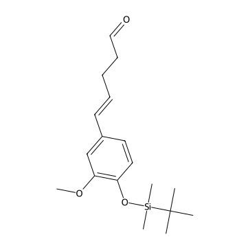 COc1cc(C=CCCC=O)ccc1O[Si](C)(C)C(C)(C)C